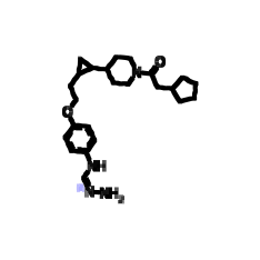 N/N=C\Nc1ccc(OCCC2CC2C2CCN(C(=O)CC3CCCC3)CC2)cc1